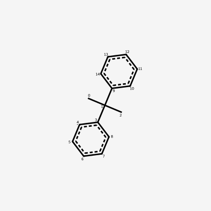 CC(C)(c1[c]cccc1)c1ccccc1